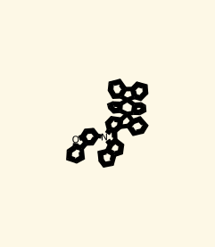 c1ccc2c(c1)-c1ccccc1C21c2ccccc2C2(c3ccccc3-c3c2ccc2c3c3ccc4ccccc4c3n2-c2ccc3oc4ccccc4c3c2)c2ccccc21